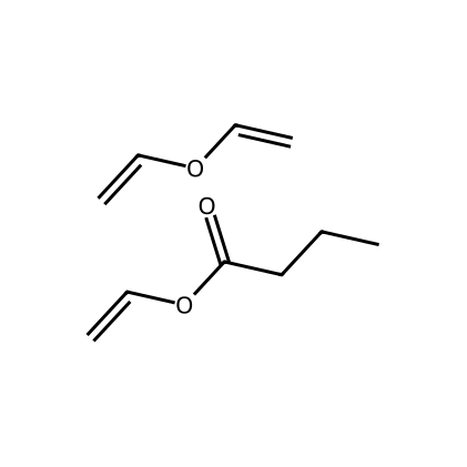 C=COC(=O)CCC.C=COC=C